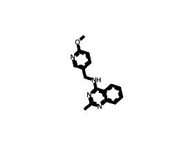 COc1ccc(CNc2nc(C)nc3ccccc23)cn1